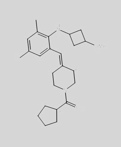 COC1CC(Nc2c(C)cc(Cl)cc2C=C2CCN(C(=O)C3CCCC3)CC2)C1